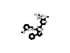 COc1cccc(CNc2nc(-c3cnc(OC)c(S(N)(=O)=O)c3)nn3ccc(-c4ccccc4)c23)n1